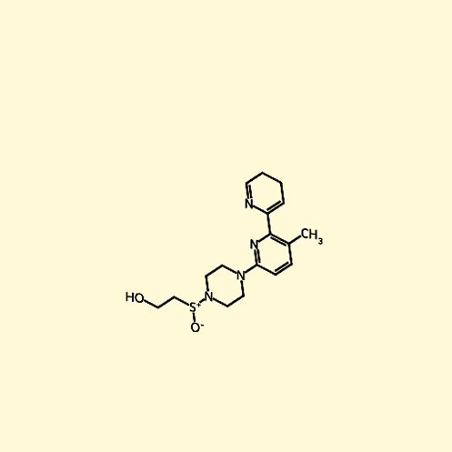 Cc1ccc(N2CCN([S+]([O-])CCO)CC2)nc1C1=CCCC=N1